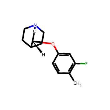 Cc1ccc(O[C@H]2CN3CCC2CC3)cc1F